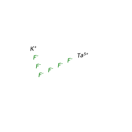 [F-].[F-].[F-].[F-].[F-].[F-].[K+].[Ta+5]